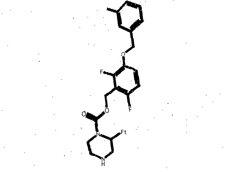 CCC1CNCCN1C(=O)OCc1c(F)ccc(OCc2cccc(C)c2)c1F